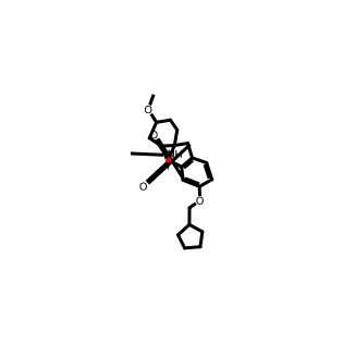 COC1CCC2(CC1)Cc1ccc(OCC3CCCC3)cc1C21NC(=O)N(C)C1=O